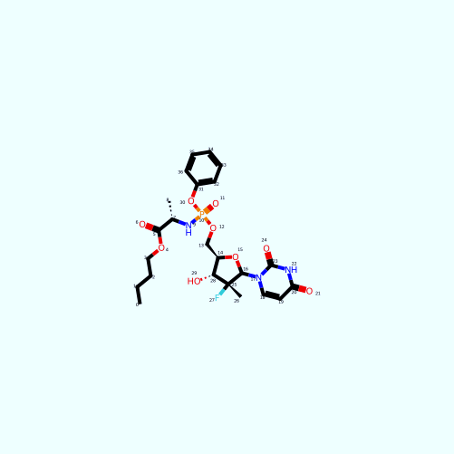 CCCCOC(=O)[C@H](C)NP(=O)(OC[C@H]1OC(n2ccc(=O)[nH]c2=O)[C@](C)(F)[C@@H]1O)Oc1ccccc1